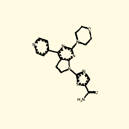 NC(=O)c1cnc(N2CCc3c(-c4ccncc4)nc(N4CCOCC4)nc32)s1